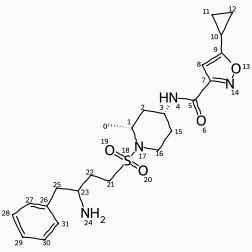 C[C@@H]1C[C@H](NC(=O)c2cc(C3CC3)on2)CCN1S(=O)(=O)CCC(N)Cc1ccccc1